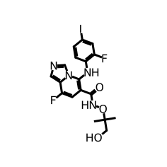 CC(C)(CO)ONC(=O)c1cc(F)c2cncn2c1Nc1ccc(I)cc1F